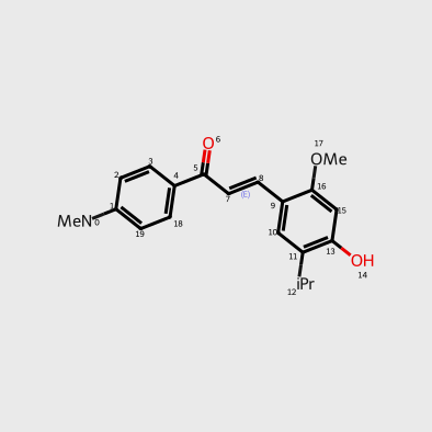 CNc1ccc(C(=O)/C=C/c2cc(C(C)C)c(O)cc2OC)cc1